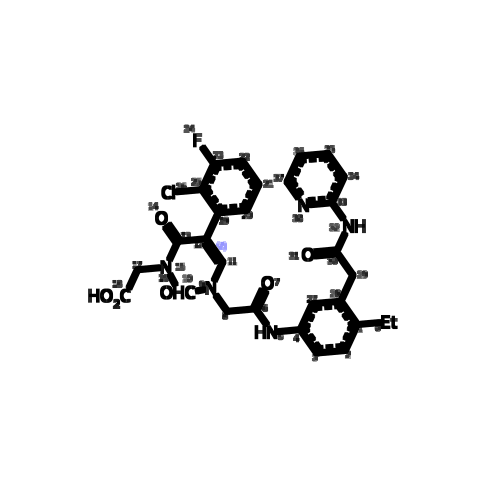 CCc1ccc(NC(=O)CN(C=O)/C=C(\C(=O)N(C)CC(=O)O)c2cccc(F)c2Cl)cc1CC(=O)Nc1ccccn1